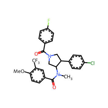 COc1ccc(C(=O)N(C)C2CN(C(=O)c3ccc(F)cc3)CC2c2ccc(Cl)cc2)cc1C(F)(F)F